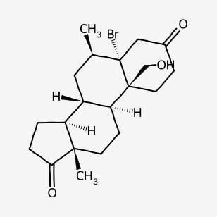 C[C@@H]1C[C@@H]2[C@H](CC[C@]3(C)C(=O)CC[C@@H]23)[C@@]2(CO)CCC(=O)C[C@]12Br